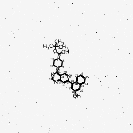 CC(C)(C)OC(O)N1CCN(c2ncnc3cc(-c4cc(O)cc5ccccc45)ncc23)CC1